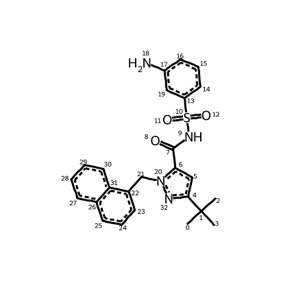 CC(C)(C)c1cc(C(=O)NS(=O)(=O)c2cccc(N)c2)n(Cc2cccc3ccccc23)n1